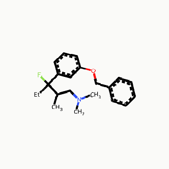 CCC(F)(c1cccc(OCc2ccccc2)c1)C(C)CN(C)C